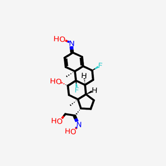 C[C@]12C[C@H](O)[C@@]3(F)[C@@H](C[C@H](F)C4=C/C(=N/O)C=C[C@@]43C)[C@@H]1CC[C@@H]2/C(CO)=N/O